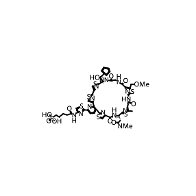 CNC(=O)C[C@@H]1NC(=O)c2csc(n2)-c2ccc(-c3nc(NC(=O)CCCCP(=O)(O)O)cs3)nc2-c2csc(n2)-c2csc(n2)[C@H]([C@@H](O)c2ccccc2)NC(=O)CNC(=O)c2nc(sc2COC)NC(=O)c2nc1sc2C